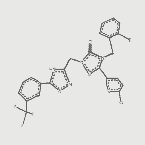 O=c1n(Cc2nnc(-c3cccc(C(F)(F)F)c3)[nH]2)nc(-c2ccc(Cl)s2)n1Cc1ccccc1F